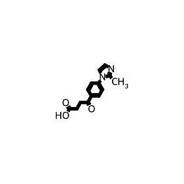 Cc1nccn1-c1ccc(C(=O)CCC(=O)O)cc1